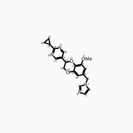 COc1cc(Cn2ccnc2)cc2c1OC(c1cnc(C3CC3)nc1)CO2